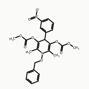 COC(=O)OC1=C(C)N(OCc2ccccc2)C(C)=C(OC(=O)OC)C1c1cccc([N+](=O)[O-])c1